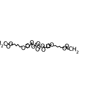 C=CC(=O)OCCCCCCOc1ccc(C(=O)OC2COC3C(OC(=O)c4ccc(OCCCCCCOC(=O)C=C)cc4)COC23)cc1